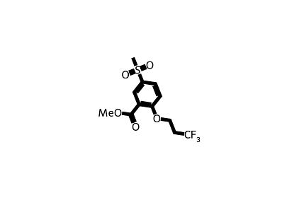 COC(=O)c1cc(S(C)(=O)=O)ccc1OCCC(F)(F)F